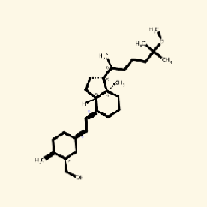 C=C1CC/C(=C\C=C2/CCC[C@]3(C)[C@@H]([C@@H](C)CCCC(C)(C)OC)CC[C@@H]23)C[C@H]1CO